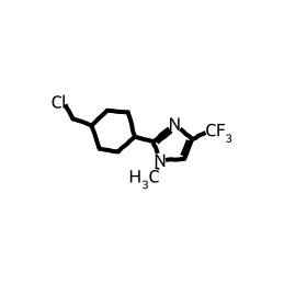 Cn1cc(C(F)(F)F)nc1C1CCC(CCl)CC1